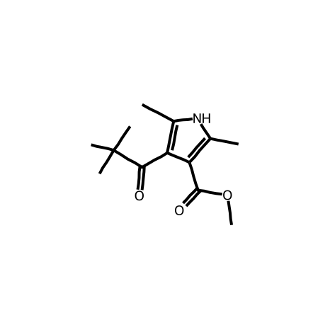 COC(=O)c1c(C)[nH]c(C)c1C(=O)C(C)(C)C